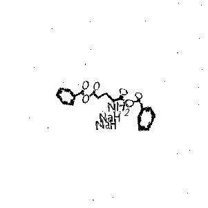 N[C@@H](CCC(=O)OC(=O)c1ccccc1)C(=O)OC(=O)c1ccccc1.[NaH].[NaH]